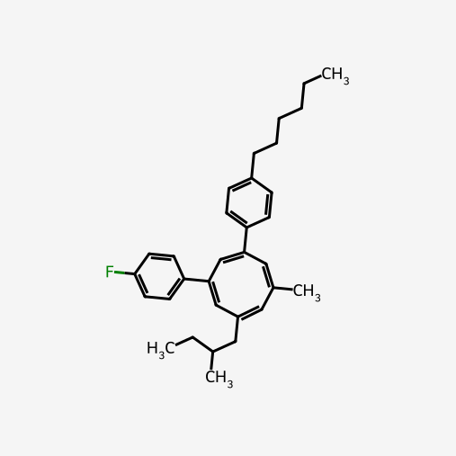 CCCCCCc1ccc(C2=C/C(c3ccc(F)cc3)=C\C(CC(C)CC)=C/C(C)=C\2)cc1